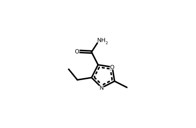 CCc1nc(C)oc1C(N)=O